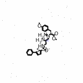 COC(=O)[C@H](Cc1ccc(OC)cc1)N(N)/C=C(\N)CN[S+]([O-])c1ccc(-c2ccccc2)s1